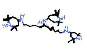 CC1(C)CC(NCCCCCC(CCCCCNC2CC(C)(C)NC(C)(C)C2)NC2CC(C)(C)NC(C)(C)C2)CC(C)(C)N1